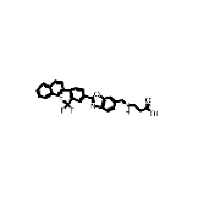 O=C(O)CCNCc1ccc2nc(-c3ccc(-c4ccc5ccccc5c4)c(C(F)(F)F)c3)oc2c1